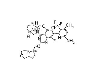 Cc1cc(N)nc(-c2c(Cl)c3c4c(nc(OC[C@H]5CCC6COCCN65)nc4c2F)N2C[C@H]4CC[C@H](N4)[C@H]2CO3)c1C(F)(F)F